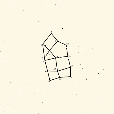 CC12C3CC1C1C4CC5CC6C(C3)C12C564